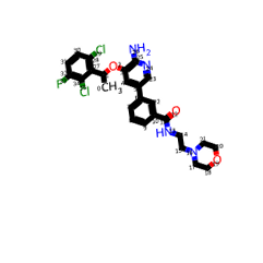 CC(Oc1cc(-c2cccc(C(=O)NCCN3CCOCC3)c2)cnc1N)c1c(Cl)ccc(F)c1Cl